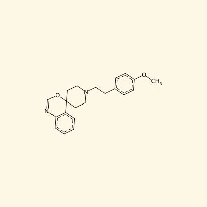 COc1ccc(CCN2CCC3(CC2)OC=Nc2ccccc23)cc1